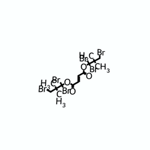 CC(C)(CBr)C(Br)(Br)OC(=O)C=CC(=O)OC(Br)(Br)C(C)(C)CBr